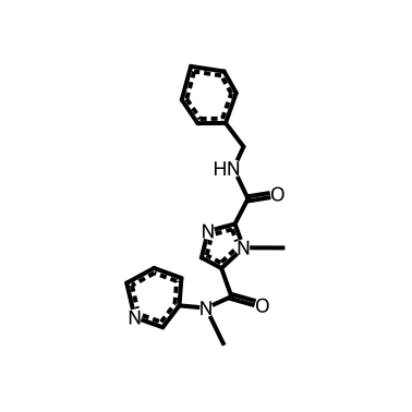 CN(C(=O)c1cnc(C(=O)NCc2ccccc2)n1C)c1cccnc1